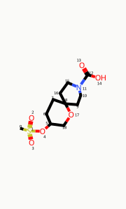 CS(=O)(=O)OC1CCC2(CCN(C(=O)O)CC2)OC1